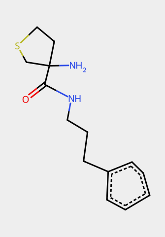 NC1(C(=O)NCCCc2ccccc2)CCSC1